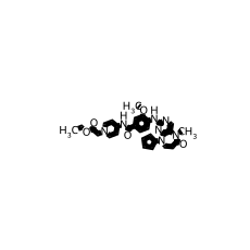 CCOC(=O)CN1CCC(NC(=O)c2ccc(Nc3ncc4c(n3)N(C3CCCC3)CCC(=O)N4C)c(OC)c2)CC1